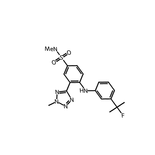 CNS(=O)(=O)c1ccc(Nc2cccc(C(C)(C)F)c2)c(-c2nnn(C)n2)c1